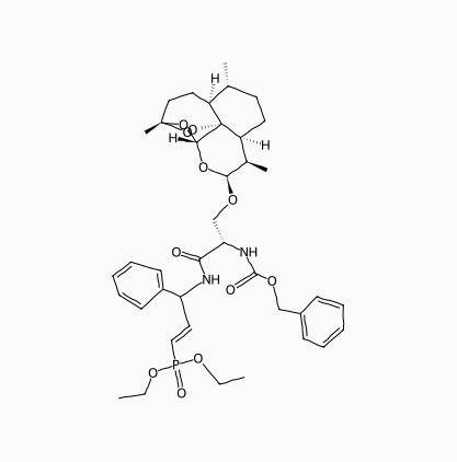 CCOP(=O)(/C=C/C(NC(=O)[C@H](CO[C@H]1O[C@@H]2O[C@@]3(C)CC[C@H]4[C@H](C)CC[C@@H]([C@H]1C)[C@@]24OO3)NC(=O)OCc1ccccc1)c1ccccc1)OCC